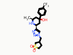 C[C@H]1CC(O)(c2ccc(C(F)(F)F)cc2)C[C@@H](c2cn(CC3CCS(=O)(=O)C3)nn2)N1